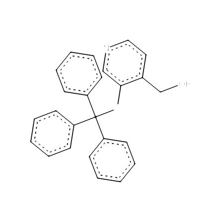 OCc1ccncc1SC(c1ccccc1)(c1ccccc1)c1ccccc1